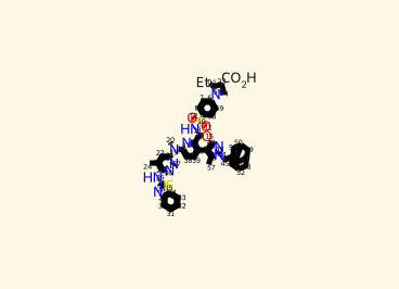 CCC1C(C(=O)O)CN1c1ccc(S(=O)(=O)NC(=O)c2nc(N(C)c3cc(C)c(Nc4nc5ccccc5s4)nn3)ccc2-c2cnn(CC34CC5CC(CC(C5)C3)C4)c2C)cc1